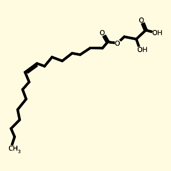 CCCCCCCC/C=C\CCCCCCCC(=O)OCC(O)C(=O)O